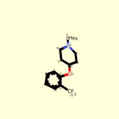 [CH2]CCCCCN1CCC(Oc2ccccc2C(F)(F)F)CC1